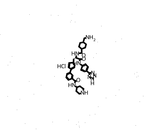 Cl.NCC1CCC(C(=O)N[C@@H](Cc2ccc(-c3cccc(C(=O)NC4CCNCC4)c3)cc2)C(=O)Nc2ccc(-c3nn[nH]n3)cc2)CC1